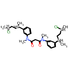 CN(C(=O)CC(=O)N(C)c1cccc([SiH](C)CC[SiH](C)Cl)c1)c1cccc([SiH](C)CC[SiH](C)Cl)c1